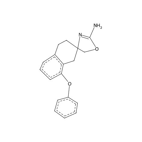 NC1=NC2(CCc3cccc(Oc4ccccc4)c3C2)CO1